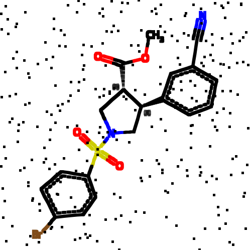 COC(=O)[C@H]1CN(S(=O)(=O)c2ccc(Br)cc2)C[C@@H]1c1cccc(C#N)c1